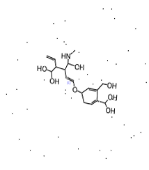 C=CC(C(O)O)C(/C=C/OC1C=C(CO)C(C(O)O)=CC1)C(O)NC